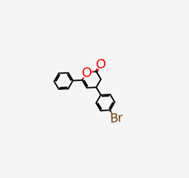 O=C1CC(c2ccc(Br)cc2)C=C(c2ccccc2)O1